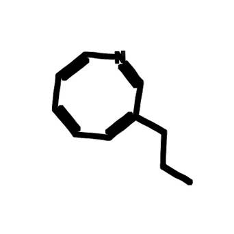 CCCC1=C/C=C\C=C/N=C\1